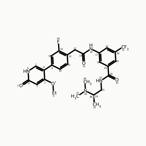 CCOc1cc(=O)[nH]cc1-c1ccc(CC(=O)Nc2cc(C(=O)NC[C@@H](C)N(C)C)cc(C(F)(F)F)c2)c(F)c1